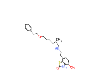 C[C@H](CCCCOCCc1ccccc1)CNCCc1ccc(O)c2[nH]c(=O)sc12